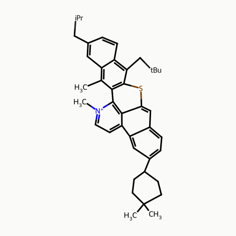 Cc1c2c(c(CC(C)(C)C)c3ccc(CC(C)C)cc13)Sc1cc3ccc(C4CCC(C)(C)CC4)cc3c3cc[n+](C)c-2c13